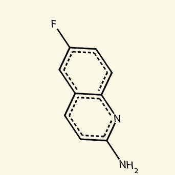 Nc1ccc2cc(F)ccc2n1